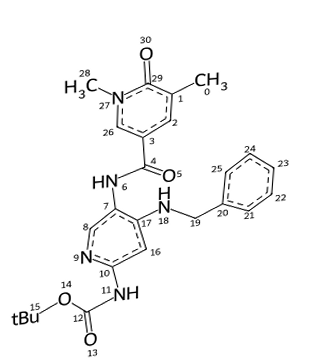 Cc1cc(C(=O)Nc2cnc(NC(=O)OC(C)(C)C)cc2NCc2ccccc2)cn(C)c1=O